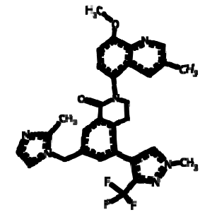 COc1ccc(N2CCc3c(cc(Cn4ccnc4C)cc3-c3cn(C)nc3C(F)(F)F)C2=O)c2cc(C)cnc12